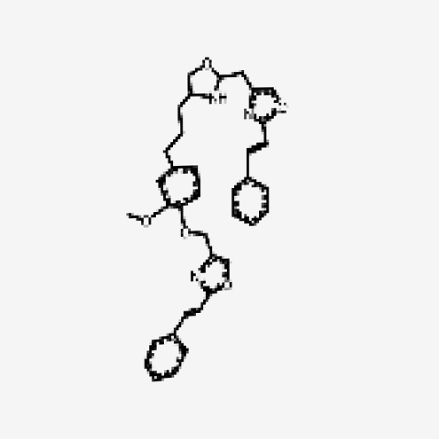 COc1cc(CCCC2COC(Cc3coc(C=Cc4ccccc4)n3)N2)ccc1OCc1coc(C=Cc2ccccc2)n1